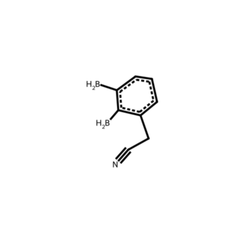 Bc1cccc(CC#N)c1B